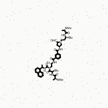 CC[C@@H](CN(C(=O)NC(C)c1cccc2ccccc12)C(=O)C(NC(=O)[C@H](C)NC)C(C)(C)C)NC(=O)c1cccc(C(=O)N[C@H]2CC(C=O)N(OC[C@@H](NC(=O)[C@H](C)NC)C(C)(C)C)C2)c1